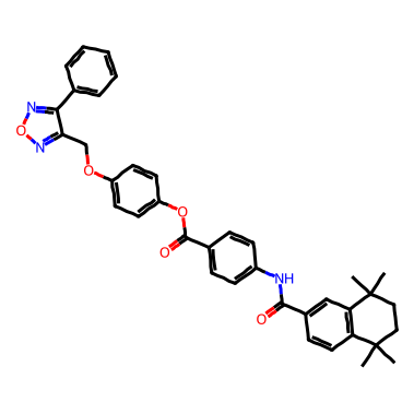 CC1(C)CCC(C)(C)c2cc(C(=O)Nc3ccc(C(=O)Oc4ccc(OCc5nonc5-c5ccccc5)cc4)cc3)ccc21